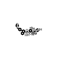 COc1c(NC(=O)Nc2ccc(-c3ccc(CN4CCOCC4)cc3)c3ccccc23)cc(C(C)(C)C)cc1NC(=O)C(=O)N1CCNCC1